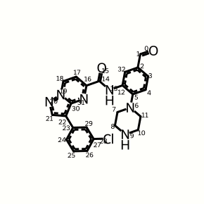 O=Cc1ccc(N2CCNCC2)c(NC(=O)c2ccn3ncc(-c4cccc(Cl)c4)c3n2)c1